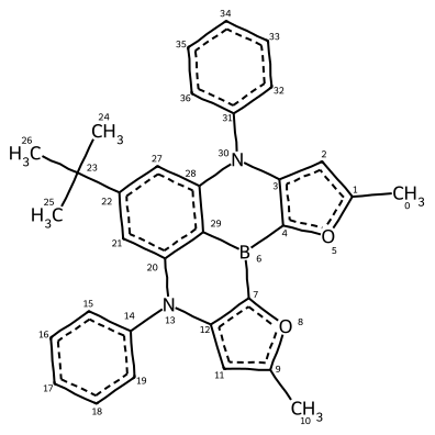 Cc1cc2c(o1)B1c3oc(C)cc3N(c3ccccc3)c3cc(C(C)(C)C)cc(c31)N2c1ccccc1